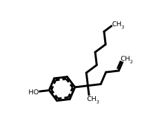 C=CCCC(C)(CCCCCC)c1ccc(O)cc1